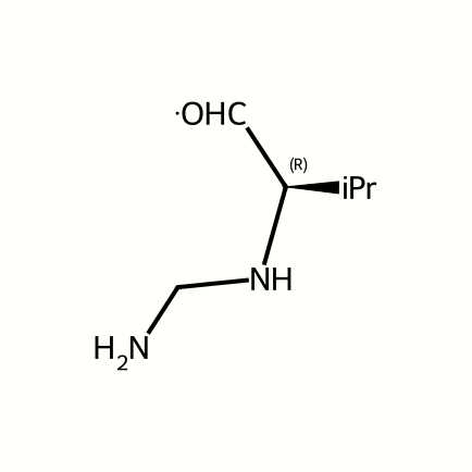 CC(C)[C@H]([C]=O)NCN